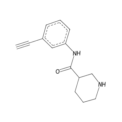 C#Cc1cccc(NC(=O)C2CCCNC2)c1